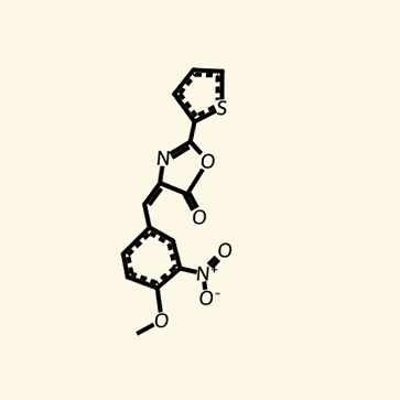 COc1ccc(C=C2N=C(c3cccs3)OC2=O)cc1[N+](=O)[O-]